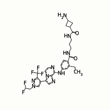 CCc1cc(Nc2nccn3c(-c4cn(CC(F)F)nc4C(F)(F)F)cnc23)ccc1C(=O)NCCCNC(=O)C1CC(N)C1